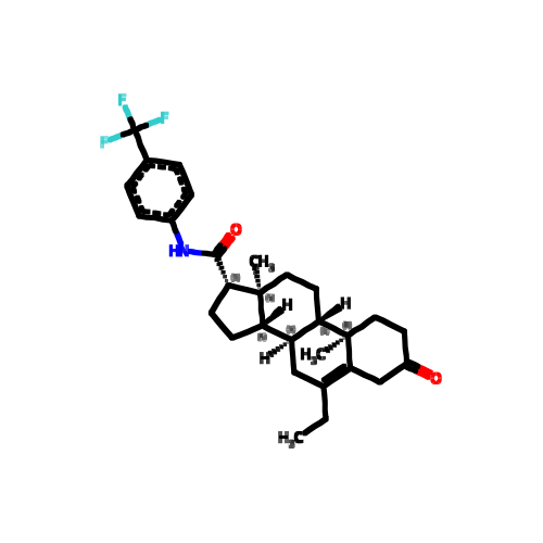 CCC1=C2CC(=O)CC[C@]2(C)[C@H]2CC[C@]3(C)[C@@H](C(=O)Nc4ccc(C(F)(F)F)cc4)CC[C@H]3[C@@H]2C1